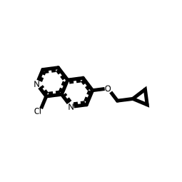 Clc1nccc2cc(OCC3CC3)cnc12